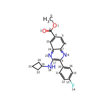 COC(=O)c1ccc2nc(-c3ccc(F)cc3)c(NC3CCC3)nc2c1